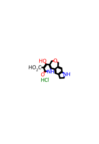 Cl.O=C(O)c1c(O)c2c([nH]c1=O)-c1cc3c(cc1COC2)NCC3